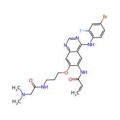 C=CC(=O)Nc1cc2c(Nc3ccc(Br)cc3F)ncnc2cc1OCCCNC(=O)CN(C)C